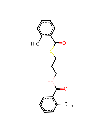 Cc1ccccc1C(=O)BCCCSC(=O)c1ccccc1C